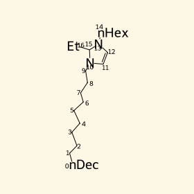 CCCCCCCCCCCCCCCCCCCN1C=CN(CCCCCC)C1CC